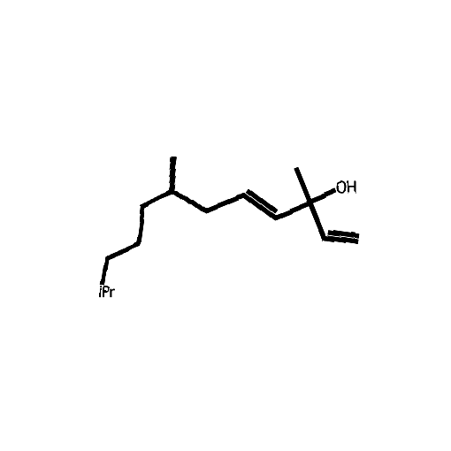 C=CC(C)(O)C=CCC(C)CCCC(C)C